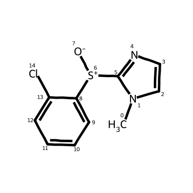 Cn1ccnc1[S+]([O-])c1ccccc1Cl